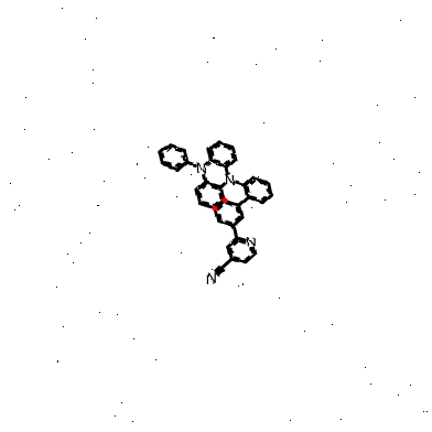 N#Cc1ccnc(-c2cccc(-c3ccccc3N3c4ccccc4N(c4ccccc4)c4ccccc43)c2)c1